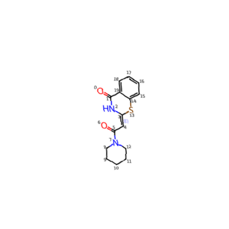 O=C1N/C(=C\C(=O)N2CCCCC2)Sc2ccccc21